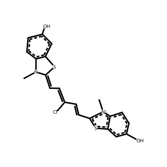 CN1/C(=C/C=C(Cl)/C=C/c2sc3cc(O)ccc3[n+]2C)Sc2cc(O)ccc21